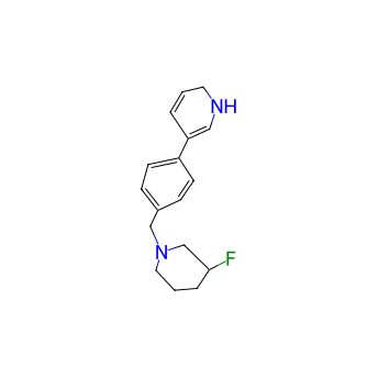 FC1CCCN(Cc2ccc(C3=CNCC=C3)cc2)C1